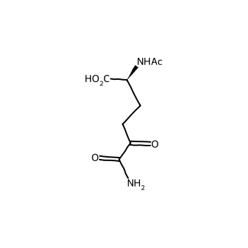 CC(=O)N[C@@H](CCC(=O)C(N)=O)C(=O)O